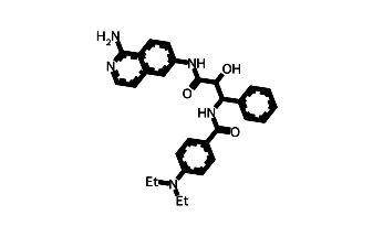 CCN(CC)c1ccc(C(=O)NC(c2ccccc2)C(O)C(=O)Nc2ccc3c(N)nccc3c2)cc1